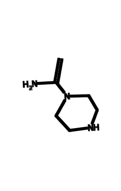 C=C(N)N1CCNCC1